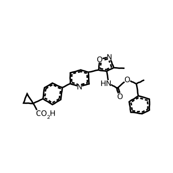 Cc1noc(-c2ccc(-c3ccc(C4(C(=O)O)CC4)cc3)nc2)c1NC(=O)OC(C)c1ccccc1